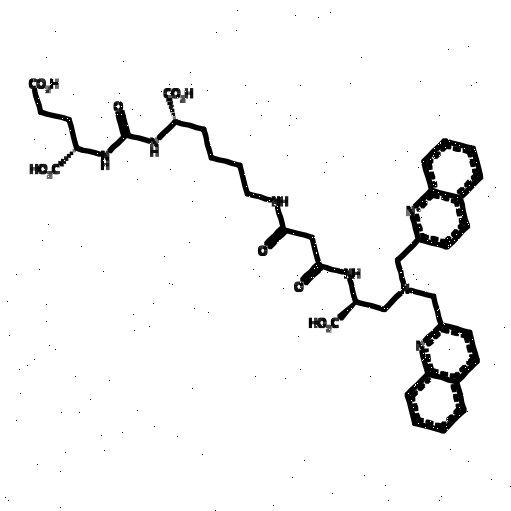 O=C(O)CC[C@H](NC(=O)N[C@@H](CCCCNC(=O)CC(=O)N[C@@H](CN(Cc1ccc2ccccc2n1)Cc1ccc2ccccc2n1)C(=O)O)C(=O)O)C(=O)O